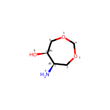 N[C@@H]1COCOC[C@@H]1O